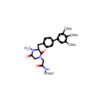 CCCCCCCNC(=O)CN1CC(=O)N(C)C(Cc2ccc(-c3cc(OC)c(OC)c(OC)c3)cc2)C1=O